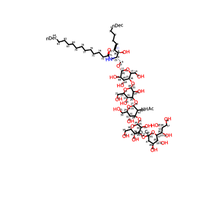 CCCCCCCCCCCCC/C=C/[C@@H](O)[C@H](CO[C@@H]1OC(CO)[C@@H](O[C@@H]2OC(CO)[C@H](O)[C@H](O[C@@H]3OC(CO)[C@@H](O)[C@H](O[C@@H]4OC(CO)[C@H](O)[C@H](O[C@]5(C(=O)O)CC(O)[C@@H](O)C([C@H](O)[C@H](O)CO)O5)C4O)C3NC(C)=O)C2O)[C@H](O)C1O)NC(=O)CCCCCCCCCCCCCCCCCCCCC